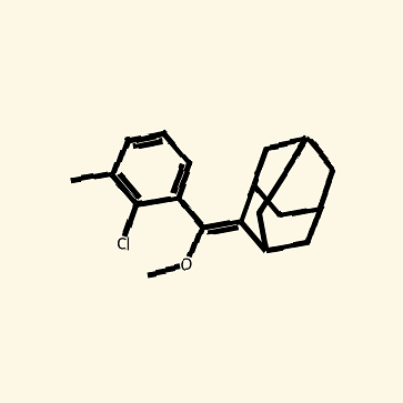 COC(=C1C2CC3CC(C2)CC1C3)c1cccc(C)c1Cl